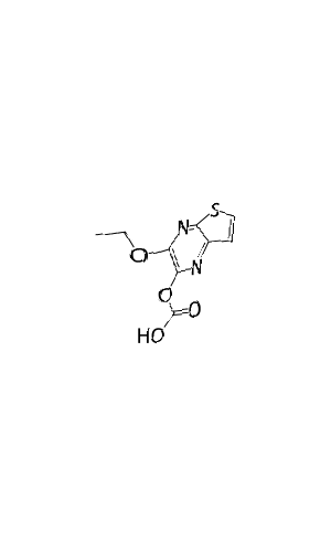 CCOc1nc2sccc2nc1OC(=O)O